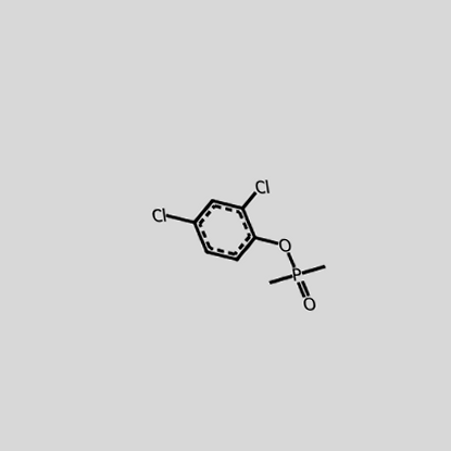 CP(C)(=O)Oc1ccc(Cl)cc1Cl